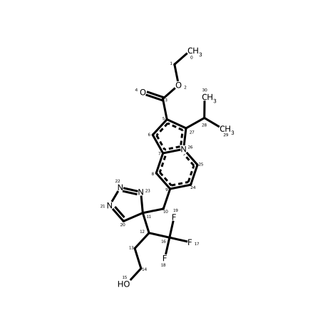 CCOC(=O)c1cc2cc(CC3(C(CCO)C(F)(F)F)C=NN=N3)ccn2c1C(C)C